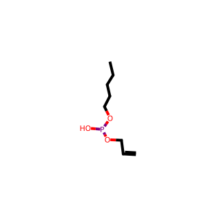 C=CCOP(O)OCCCCC